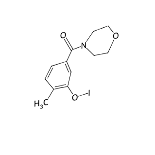 Cc1ccc(C(=O)N2CCOCC2)cc1OI